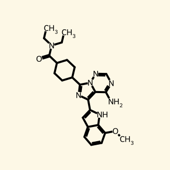 CCN(CC)C(=O)C1CCC(c2nc(-c3cc4cccc(OC)c4[nH]3)c3c(N)ncnn23)CC1